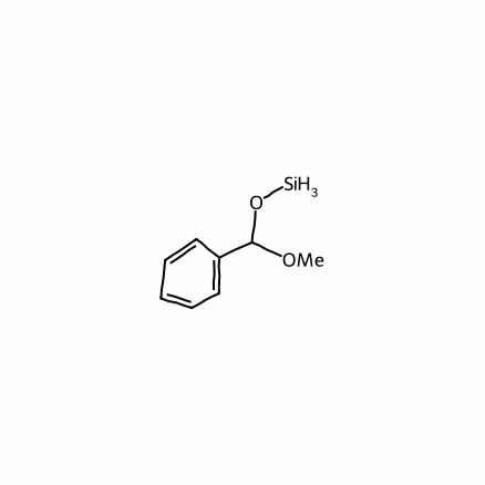 COC(O[SiH3])c1ccccc1